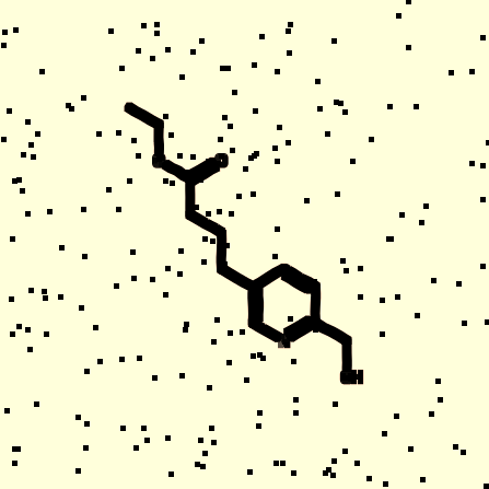 CCOC(=O)CCCc1ccc(CO)nc1